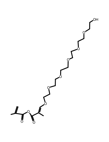 C=C(C)C(=O)OC(=O)C(C)=COCCOCCOCCOCCOCCOCCO